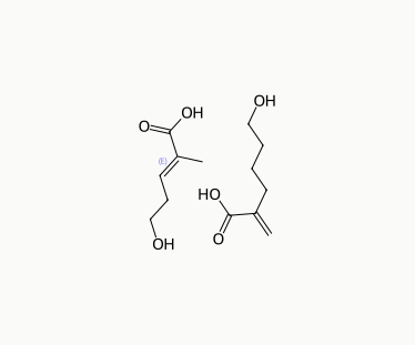 C/C(=C\CCO)C(=O)O.C=C(CCCCO)C(=O)O